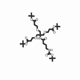 CC(C)(C)OC(=O)CCOCC(COCCC(=O)OC(C)(C)C)(COCCC(=O)OC(C)(C)C)NC(=O)CCCNC(=O)OC(C)(C)C